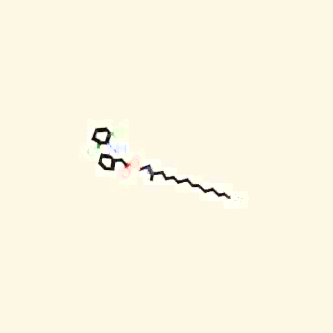 C/C(=C\COC(=O)Cc1ccccc1Nc1c(Cl)cccc1Cl)CCCCCCCCCCCC(C)C